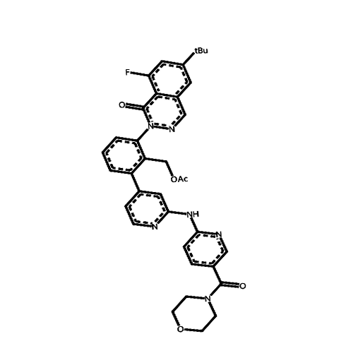 CC(=O)OCc1c(-c2ccnc(Nc3ccc(C(=O)N4CCOCC4)cn3)c2)cccc1-n1ncc2cc(C(C)(C)C)cc(F)c2c1=O